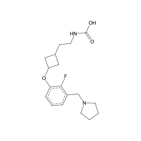 O=C(O)NCCC1CC(Oc2cccc(CN3CCCC3)c2F)C1